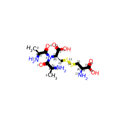 C[C@H](N)C(=O)N(C(=O)[C@H](C)N)[C@@H](CSSC[C@H](N)C(=O)O)C(=O)O